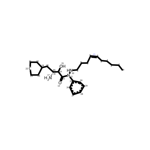 CCCCC/C=C\CCCNN(C(=O)C(O)[C@H](N)CC1CCCCC1)c1ccccc1